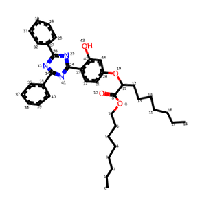 CCCCCCCCOC(=O)C(CCCCCCC)Oc1ccc(-c2nc(-c3ccccc3)nc(-c3ccccc3)n2)c(O)c1